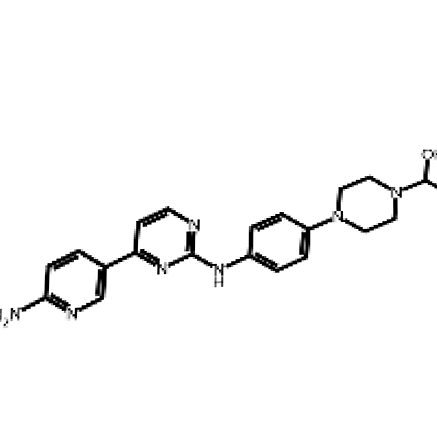 CC(O)N1CCN(c2ccc(Nc3nccc(-c4ccc(N)nc4)n3)cc2)CC1